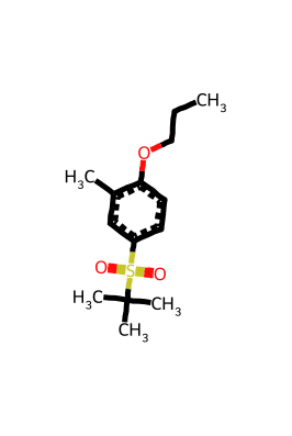 CCCOc1ccc(S(=O)(=O)C(C)(C)C)cc1C